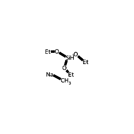 CCO[SiH](OCC)OCC.[CH3][Na]